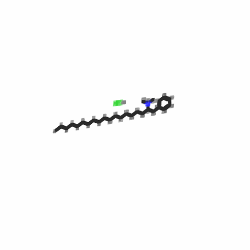 CCCCCCCCCCCCCCCCCC(Cc1ccccc1)N(C)C.Cl